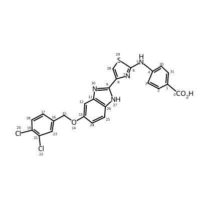 O=C(O)c1ccc(Nc2nc(-c3nc4cc(OCc5ccc(Cl)c(Cl)c5)ccc4[nH]3)cs2)cc1